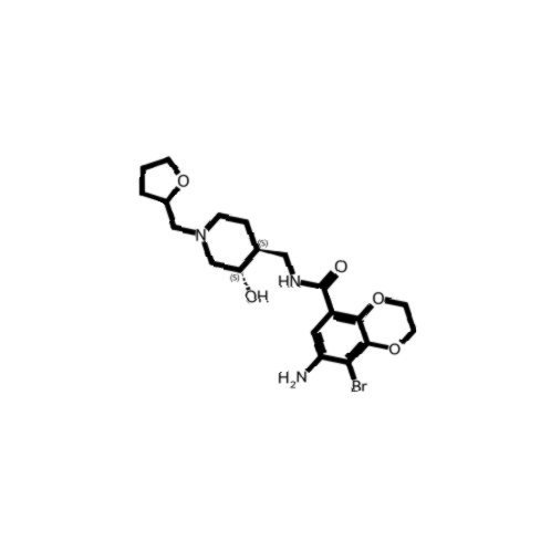 Nc1cc(C(=O)NC[C@@H]2CCN(CC3CCCO3)C[C@H]2O)c2c(c1Br)OCCO2